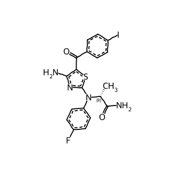 C[C@H](C(N)=O)N(c1ccc(F)cc1)c1nc(N)c(C(=O)c2ccc(I)cc2)s1